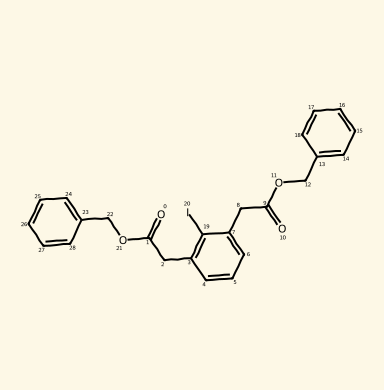 O=C(Cc1cccc(CC(=O)OCc2ccccc2)c1I)OCc1ccccc1